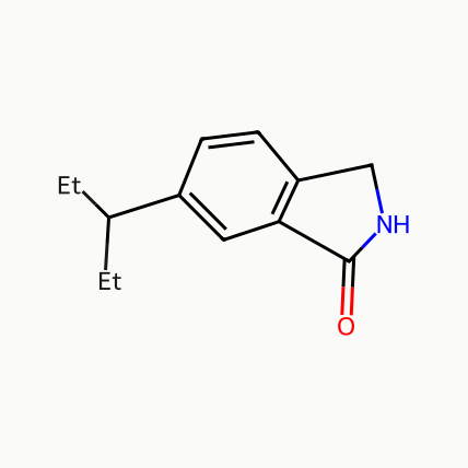 CCC(CC)c1ccc2c(c1)C(=O)NC2